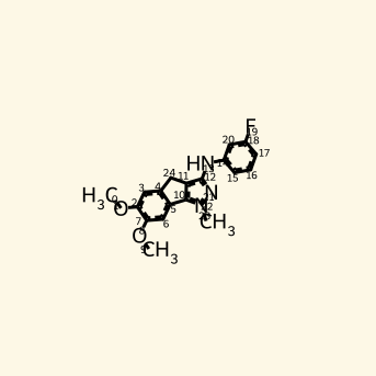 COc1cc2c(cc1OC)-c1c(c(Nc3cccc(F)c3)nn1C)C2